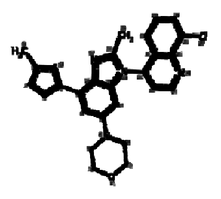 Cc1ccc(-c2cc(N3CCOCC3)cc3c2nc(C)n3-c2ccnc3c(Cl)cccc23)s1